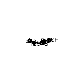 O=c1c(-c2ccc(O)cc2)coc2cc(OCc3nnc(-c4cccc(F)c4)o3)ccc12